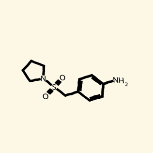 Nc1ccc(CS(=O)(=O)N2CCCC2)cc1